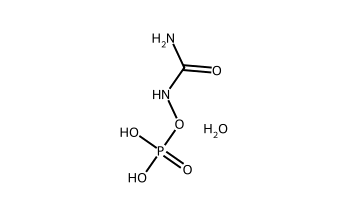 NC(=O)NOP(=O)(O)O.O